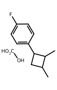 CC1CC(c2ccc(F)cc2)C1C.O=C(O)O